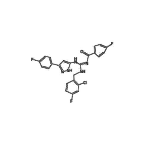 O=C(/N=C(/NCc1ccc(F)cc1Cl)Nc1cc(-c2ccc(F)cc2)n[nH]1)c1ccc(F)cc1